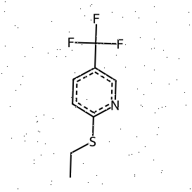 CCSc1ccc(C(F)(F)F)cn1